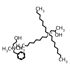 CCCCCCCC[N+](CCCCCCCC)(CCCCCCCC)CC(C)O.C[N+](C)(CCO)Cc1ccccc1